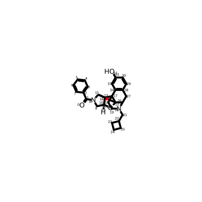 O=C(c1ccccc1)N1C[C@H]2OC34CCC1C2C31CCN(CC2CCC2)C4Cc2ccc(O)cc21